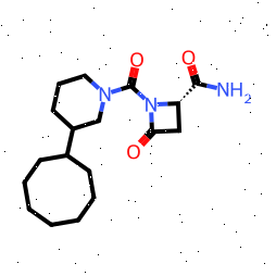 NC(=O)[C@@H]1CC(=O)N1C(=O)N1CCCC(C2CCCCCCC2)C1